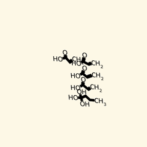 C=CC(=O)O.C=CC(=O)O.C=CC(=O)O.C=CC(=O)O.CCCC(O)(O)O